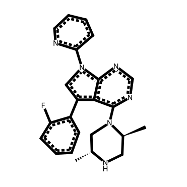 C[C@@H]1CN(c2ncnc3c2c(-c2ccccc2F)cn3-c2ccccn2)[C@@H](C)CN1